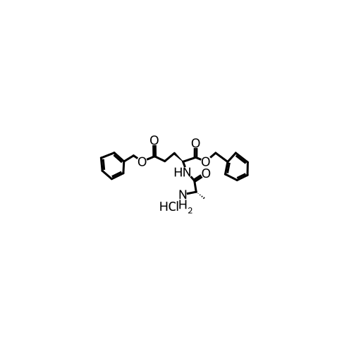 C[C@H](N)C(=O)N[C@@H](CCC(=O)OCc1ccccc1)C(=O)OCc1ccccc1.Cl